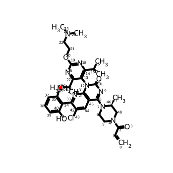 C=CC(=O)N1CCN(c2nc(=O)n(-c3c(C(C)C)nc(OCCN(C)C)nc3C(C)C)c3nc(-c4c(N)cccc4O)c(Cl)cc23)[C@@H](C)C1